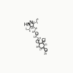 CCc1n[nH]c(CC)c1CCOCCOc1ccc(OC)cc1Cl